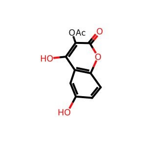 CC(=O)Oc1c(O)c2cc(O)ccc2oc1=O